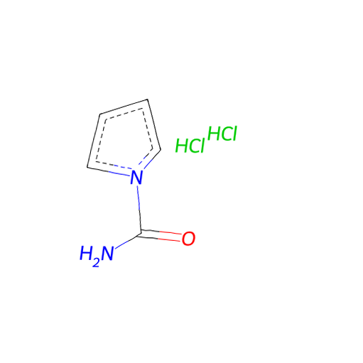 Cl.Cl.NC(=O)n1cccc1